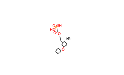 O=C(CP(=O)(O)O)OCCCc1cccc(Oc2ccccc2)c1.[K].[K]